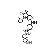 CC1CCCC1N1C(=O)C2(CC2)c2cnc(NC3CCN(S(=O)(=O)N4CCC5(CCNC5)C4)CC3)nc21